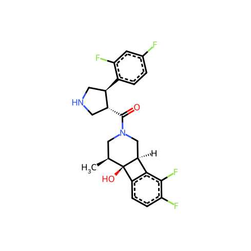 C[C@H]1CN(C(=O)[C@@H]2CNC[C@H]2c2ccc(F)cc2F)C[C@H]2c3c(ccc(F)c3F)[C@]12O